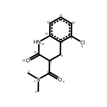 CN(C)C(=O)C1Cc2c(Cl)cccc2NC1=O